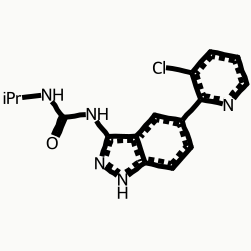 CC(C)NC(=O)Nc1n[nH]c2ccc(-c3ncccc3Cl)cc12